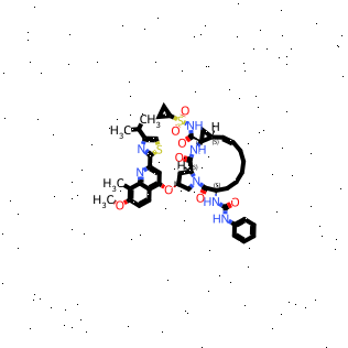 COc1ccc2c(O[C@@H]3C[C@H]4C(=O)N[C@]5(C(=O)NS(=O)(=O)C6CC6)C[C@H]5C=CCCCCC[C@H](NC(=O)Nc5ccccc5)C(=O)N4C3)cc(-c3nc(C(C)C)cs3)nc2c1C